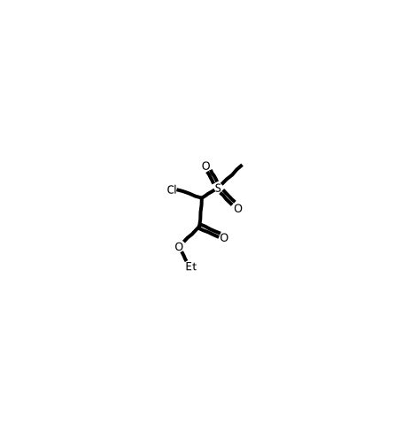 CCOC(=O)C(Cl)S(C)(=O)=O